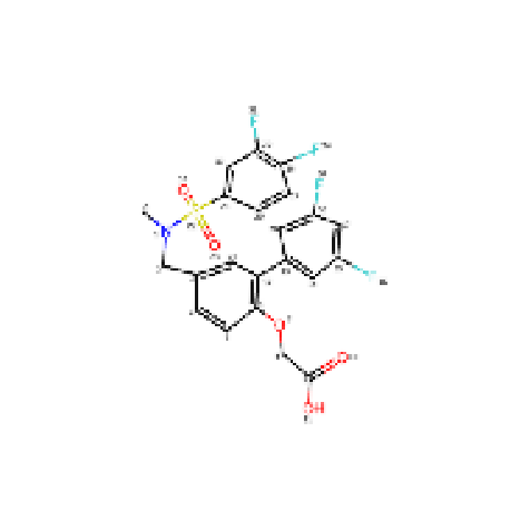 CN(Cc1ccc(OCC(=O)O)c(-c2cc(F)cc(F)c2)c1)S(=O)(=O)c1ccc(F)c(F)c1